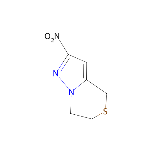 O=[N+]([O-])c1cc2n(n1)CCSC2